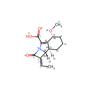 C/C=C1/C(=O)N2C(C(=O)O)=C3[C@@H](CCC[C@H]3OC)[C@H]12